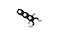 OCC1C(CO)[C@@H]2C[C@@H]1C1C3CC(C4C5CCC(C5)C34)C12